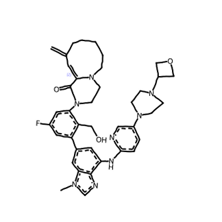 C=C1/C=C2/C(=O)N(c3cc(F)cc(-c4cc(Nc5ccc(N6CCN(C7COC7)CC6)cn5)c5ncn(C)c5c4)c3CO)CCN2CCCCC1